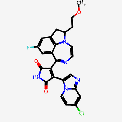 COCCC1Cc2cc(F)cc3c2N1C=CN=C3C1=C(c2cnc3cc(Cl)ccn23)C(=O)NC1=O